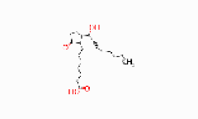 CCCCCC#CC(O)C1CCC(=O)C1CCCCCCC(=O)O